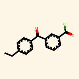 CCc1ccc(C(=O)c2cccc(C(=O)Cl)c2)cc1